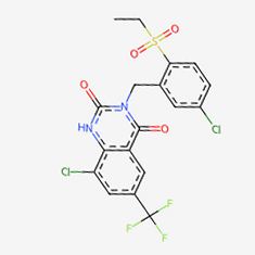 CCS(=O)(=O)c1ccc(Cl)cc1Cn1c(=O)[nH]c2c(Cl)cc(C(F)(F)F)cc2c1=O